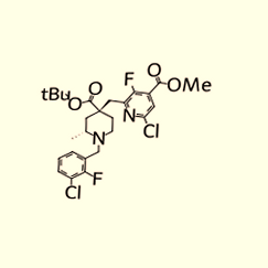 COC(=O)c1cc(Cl)nc(C[C@@]2(C(=O)OC(C)(C)C)CCN(Cc3cccc(Cl)c3F)[C@H](C)C2)c1F